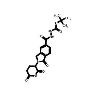 CC(C)(C)OC(=O)NNC(=O)c1ccc2c(c1)CN(C1CCC(=O)NC1=O)C2=O